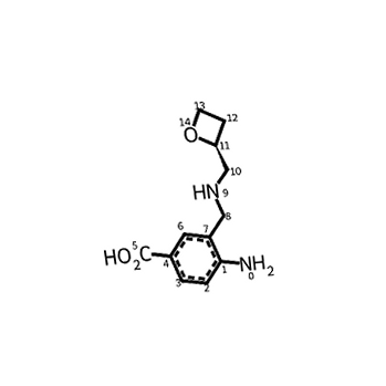 Nc1ccc(C(=O)O)cc1CNC[C@@H]1CCO1